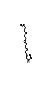 CCCOCCOCCOCc1c[nH]nn1